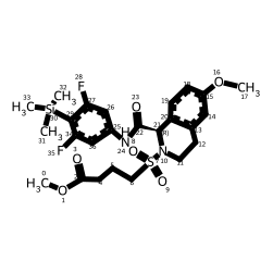 COC(=O)CCCS(=O)(=O)N1CCc2cc(OC)ccc2[C@@H]1C(=O)Nc1cc(F)c([Si](C)(C)C)c(F)c1